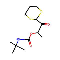 CC(OC(=O)NC(C)(C)C)C(=O)C1SCCCS1